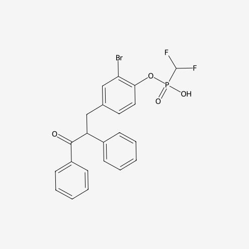 O=C(c1ccccc1)C(Cc1ccc(OP(=O)(O)C(F)F)c(Br)c1)c1ccccc1